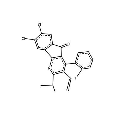 CC(C)c1nc2c(c(-c3ccccc3F)c1C=O)C(=O)c1cc(Cl)c(Cl)cc1-2